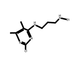 CCNCCCNc1nc(Cl)nc(C)c1C